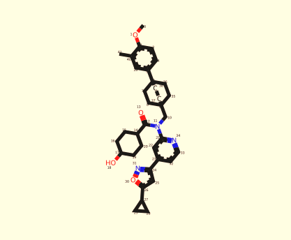 COc1ccc(C23CCC(CN(C(=O)C4CCC(O)CC4)c4cc(-c5cc(C6CC6)on5)ccn4)(CC2)CC3)cc1C